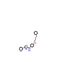 c1ccc(CCCCOc2ccc(Nc3nc(-c4cccnc4)cs3)cc2)cc1